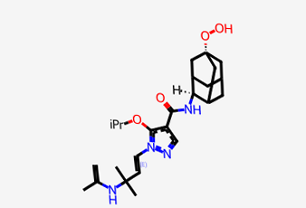 C=C(C)NC(C)(C)/C=C/n1ncc(C(=O)N[C@H]2C3CC4CC2C[C@](OO)(C4)C3)c1OC(C)C